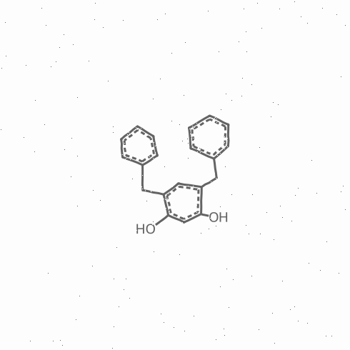 Oc1cc(O)c(Cc2ccccc2)cc1Cc1ccccc1